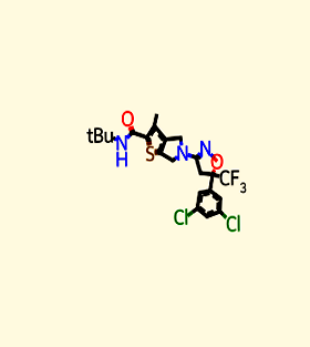 Cc1c(C(=O)NC(C)(C)C)sc2c1CN(C1=NOC(c3cc(Cl)cc(Cl)c3)(C(F)(F)F)C1)C2